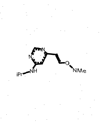 CNO/C=C/c1cc(NC(C)C)ncn1